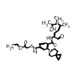 CCOC(=O)CSNc1ccc(C(=O)N/C(C=O)=C/C=C(/C)N(C)C(C)C)c(N2CCC3(CC2)CC3)c1